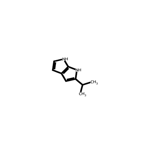 CC(C)c1cc2cc[nH]c2[nH]1